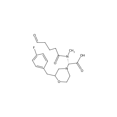 CN(C(=O)CCCC=O)[C@H](C(=O)O)N1CCOC(Cc2ccc(F)cc2)C1